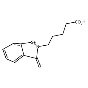 O=C(O)CCCCn1[se]c2ccccc2c1=O